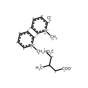 CC(CC(=O)[O-])CC(=O)O.C[n+]1ccccc1.C[n+]1ccccc1.[Cl-]